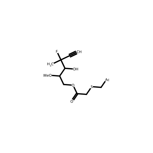 C#CC(C)(F)C(O)C(COC(=O)CSCC(C)=O)OC